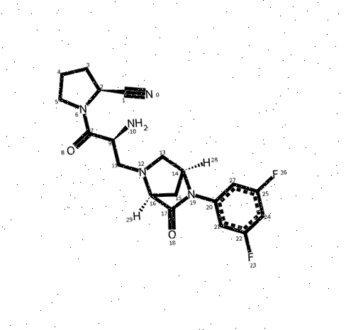 N#C[C@@H]1CCCN1C(=O)[C@@H](N)CN1C[C@@H]2C[C@H]1C(=O)N2c1cc(F)cc(F)c1